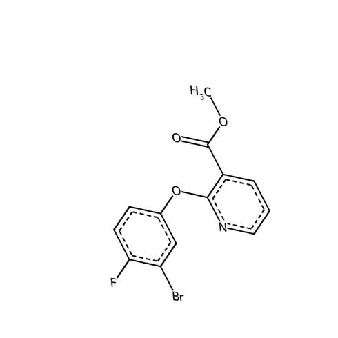 COC(=O)c1cccnc1Oc1ccc(F)c(Br)c1